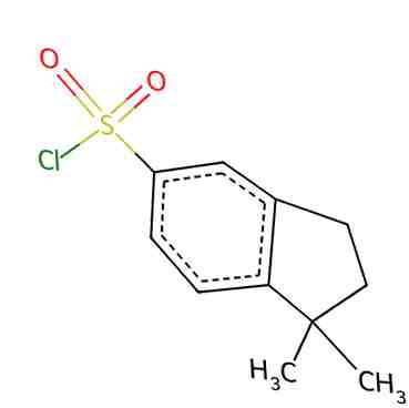 CC1(C)CCc2cc(S(=O)(=O)Cl)ccc21